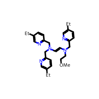 CCc1ccc(CN(/C=C/N(Cc2ccc(CC)cn2)Cc2ccc(CC)cn2)CCOC)nc1